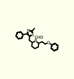 Cc1nc(-c2ccccc2)c(CC2CCCC(CCOc3ccccc3)N2C=O)s1